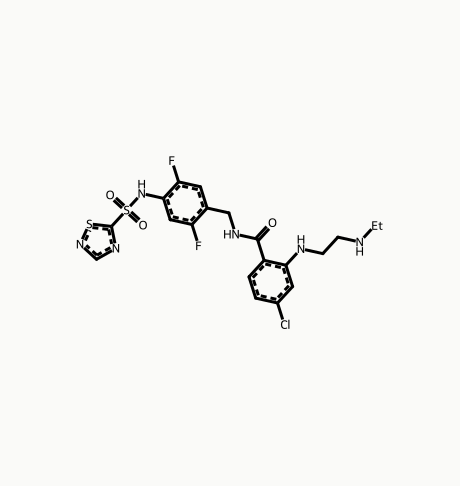 CCNCCNc1cc(Cl)ccc1C(=O)NCc1cc(F)c(NS(=O)(=O)c2ncns2)cc1F